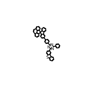 c1ccc(-c2nc(-c3ccc(-c4ccc5c(c4)-c4ccccc4C54c5cccc6ccc7cccc4c7c56)cc3)nc(-c3ccc4sc5ccccc5c4c3)n2)cc1